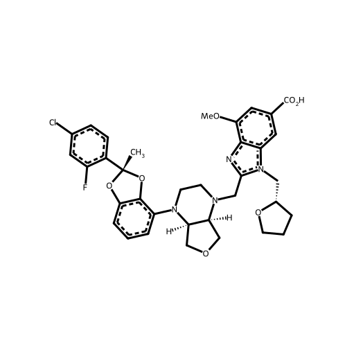 COc1cc(C(=O)O)cc2c1nc(CN1CCN(c3cccc4c3O[C@@](C)(c3ccc(Cl)cc3F)O4)[C@@H]3COC[C@@H]31)n2C[C@@H]1CCCO1